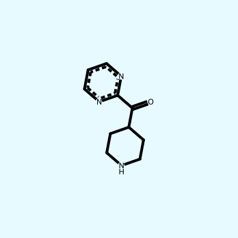 O=C(c1ncccn1)C1CCNCC1